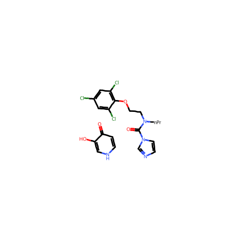 CCCN(CCOc1c(Cl)cc(Cl)cc1Cl)C(=O)n1ccnc1.O=c1cc[nH]cc1O